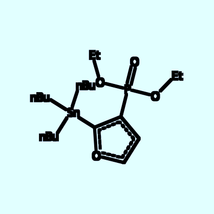 CCC[CH2][Sn]([CH2]CCC)([CH2]CCC)[c]1occc1P(=O)(OCC)OCC